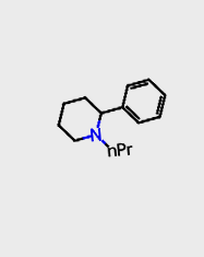 CCCN1CCCCC1c1ccccc1